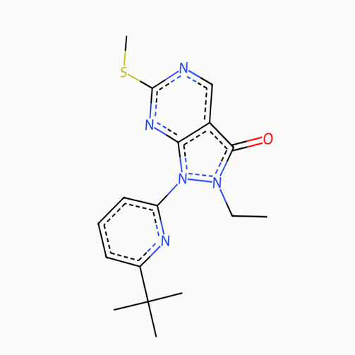 CCn1c(=O)c2cnc(SC)nc2n1-c1cccc(C(C)(C)C)n1